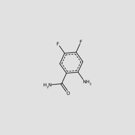 NC(=O)c1cc(F)c(F)cc1N